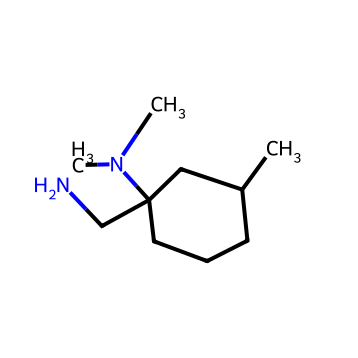 CC1CCCC(CN)(N(C)C)C1